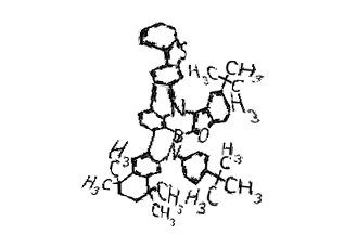 CC(C)(C)c1ccc(N2B3c4oc5ccc(C(C)(C)C)cc5c4-n4c5cc6sc7ccccc7c6cc5c5ccc(c3c54)-c3cc4c(cc32)C(C)(C)CCC4(C)C)cc1